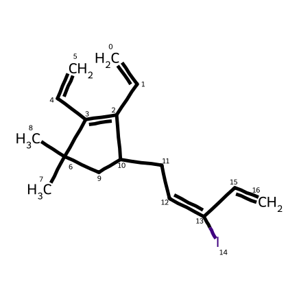 C=CC1=C(C=C)C(C)(C)CC1C/C=C(/I)C=C